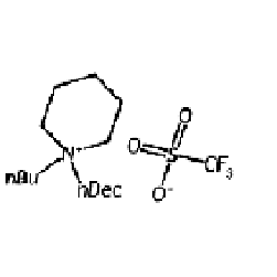 CCCCCCCCCC[N+]1(CCCC)CCCCC1.O=S(=O)([O-])C(F)(F)F